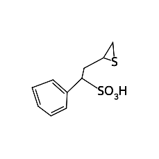 O=S(=O)(O)C(CC1CS1)c1ccccc1